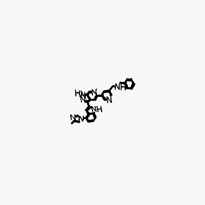 Cc1cn(-c2cccc3[nH]c(-c4n[nH]c5cnc(-c6cncc(CNCc7ccccc7)c6)cc45)cc23)cn1